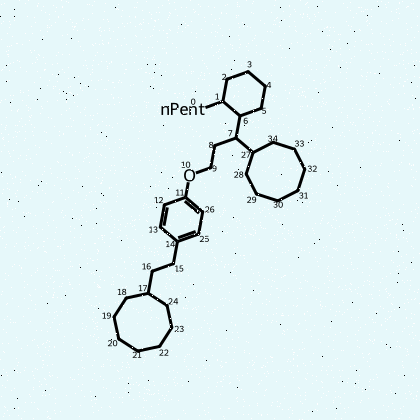 CCCCCC1CCCCC1C(CCOc1ccc(CCC2CCCCCCC2)cc1)C1CCCCCCC1